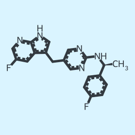 C[C@H](Nc1ncc(Cc2c[nH]c3ncc(F)cc23)cn1)c1ccc(F)cc1